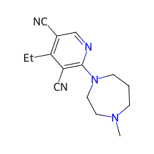 CCc1c(C#N)cnc(N2CCCN(C)CC2)c1C#N